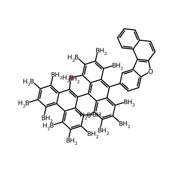 Bc1c(B)c(B)c2c(-c3c(B)c4c(B)c(B)c(B)c(B)c4c4c(B)c(B)c(B)c(B)c34)c3c(B)c(B)c(B)c(B)c3c(-c3ccc4oc5ccc6ccccc6c5c4c3)c2c1B